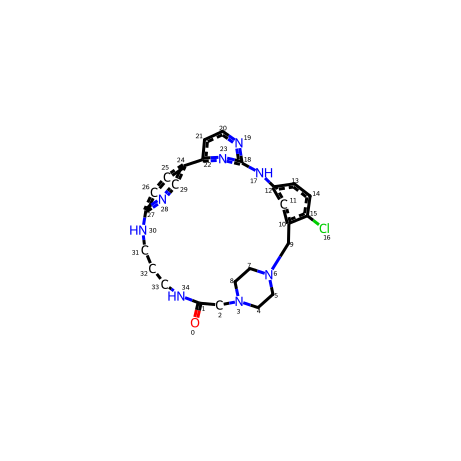 O=C1CN2CCN(CC2)Cc2cc(ccc2Cl)Nc2nccc(n2)-c2ccc(nc2)NCCCN1